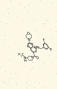 CNC1CCN(C(=O)c2cc(NCc3cc(F)cc(F)c3)c3nc(N4CCOCC4)cnc3c2)C1